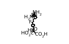 Nc1nc(N)c2c(n1)CCC2CCC(F)c1ccc(C(=O)N[C@@H](CCC(=O)O)C(=O)O)cc1